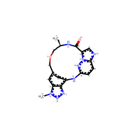 C[C@@H]1COCc2cc(c3nnn(C)c3c2)Nc2ccc3ncc(n3n2)C(=O)N1